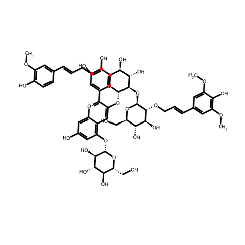 COc1cc(/C=C/COC[C@H]2O[C@@H](Oc3cc4c(O[C@@H]5O[C@H](CO)[C@@H](O)[C@H](O)[C@H]5O)cc(O)cc4[o+]c3-c3ccc(O)c(O)c3)[C@H](O[C@@H]3O[C@H](CO)[C@@H](O)[C@H](O)[C@H]3OC/C=C/c3cc(OC)c(O)c(OC)c3)[C@@H](O)[C@@H]2O)ccc1O